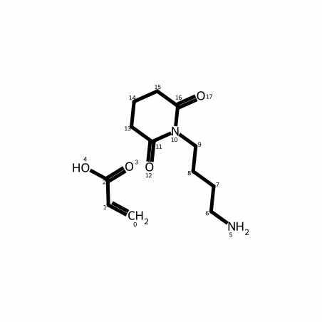 C=CC(=O)O.NCCCCN1C(=O)CCCC1=O